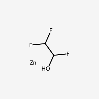 OC(F)C(F)F.[Zn]